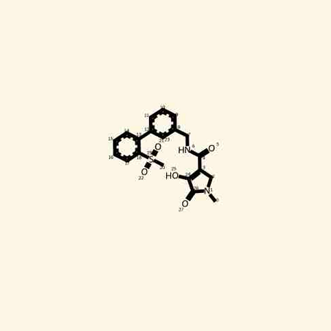 CN1CC(C(=O)NCc2cccc(-c3ccccc3S(C)(=O)=O)c2)=C(O)C1=O